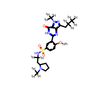 [2H]C([2H])(CC1CCCN1C([2H])([2H])[2H])NS(=O)(=O)c1ccc(OCCC)c(-c2nc3c(CC([2H])([2H])C([2H])([2H])[2H])nn(C([2H])([2H])[2H])c3c(=O)[nH]2)c1